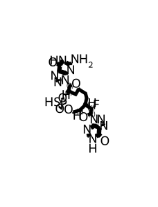 Nc1nc2c(nnn2[C@@H]2OC3CC[C@H]4[C@H](F)[C@H](n5nnc6c(=O)[nH]cnc65)O[C@@H]4COP(=O)(S)O[C@@H]2C3)c(=O)[nH]1